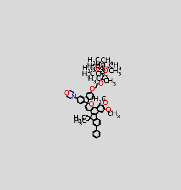 CCC1(CC)c2cc(-c3ccccc3)ccc2-c2c1c1c(c3cc(OC)c(OC)cc23)OC(c2ccc(OCCOC(C)(C)CC[Si](OC(C)(C)C)(OC(C)(C)C)OC(C)(C)C)cc2)(c2ccc(N3CCOCC3)cc2)C=C1